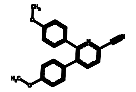 COc1ccc(-c2ccc(C#N)nc2-c2ccc(OC)cc2)cc1